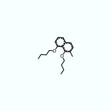 CCCCOc1cccc2ccc(C)c(OCCCC)c12